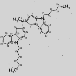 C=C(c1ccc2c(c1)c1ccccc1n2CCCCCC)c1ccc2c(c1)c1ccccc1n2CCCCCC